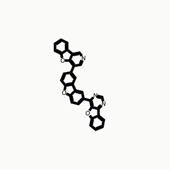 c1ccc2c(c1)oc1c(-c3ccc4oc5ccc(-c6ncnc7c6oc6ccccc67)cc5c4c3)cncc12